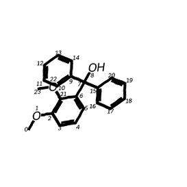 COc1cccc(C(O)(c2ccccc2)c2ccccc2)c1OC